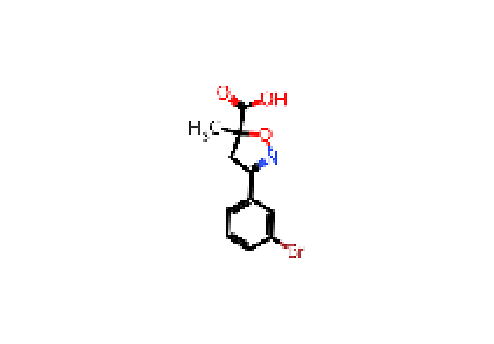 CC1(C(=O)O)CC(c2cccc(Br)c2)=NO1